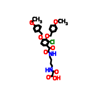 COc1ccc(COc2ccc(C(=O)C(=O)NCCCCNC(=O)C(=O)O)c(Cl)c2OCc2ccc(OC)cc2)cc1